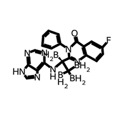 BC(B)(B)[C@](B)(Nc1ncnc2[nH]cnc12)c1nc2ccc(F)cc2c(=O)n1-c1ccccc1